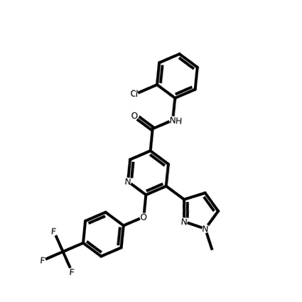 Cn1ccc(-c2cc(C(=O)Nc3ccccc3Cl)cnc2Oc2ccc(C(F)(F)F)cc2)n1